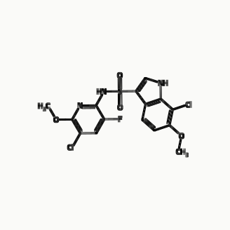 COc1ccc2c(S(=O)(=O)Nc3nc(OC)c(Cl)cc3F)c[nH]c2c1Cl